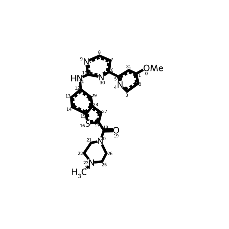 COc1ccnc(-c2ccnc(Nc3ccc4sc(C(=O)N5CCN(C)CC5)cc4c3)n2)c1